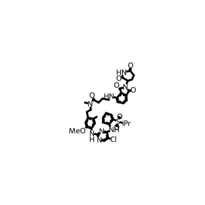 COc1cc(CCN(C)C(=O)CCCNc2cccc3c2C(=O)N(C2CCC(=O)NC2=O)C3=O)c(C)cc1Nc1ncc(Cl)c(Nc2ccccc2S(=O)(=O)C(C)C)n1